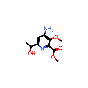 COC(=O)c1nc(C(C)O)cc(N)c1OC